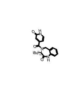 CC[C@H](C)[C@H]1C(=O)Nc2ccccc2CN1C(=O)c1cc[nH]c(=O)c1